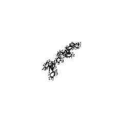 c1ccc(-c2cc(-c3cccc(-c4cccc5c4c4ccccc4n5-c4ccc5oc6ccccc6c5c4)c3)nc(-c3ccccc3)n2)cc1